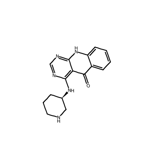 O=c1c2ccccc2[nH]c2ncnc(N[C@@H]3CCCNC3)c12